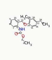 CCOC(=O)Nc1ccccc1COc1ccc(CC)cc1C